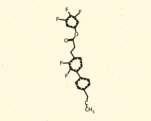 CCCc1ccc(-c2ccc(CCC(=O)Oc3cc(F)c(F)c(F)c3)c(F)c2F)cc1